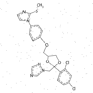 CSc1nccn1-c1ccc(OCC2COC(Cn3cncn3)(c3ccc(Cl)cc3Cl)O2)cc1